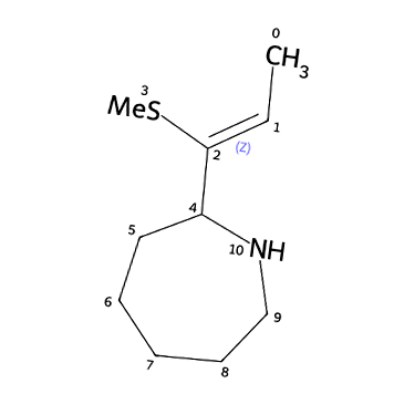 C/C=C(\SC)C1CCCCCN1